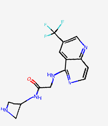 O=C(CNc1nccc2ncc(C(F)(F)F)cc12)NC1CNC1